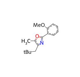 COc1ccccc1-c1nc(CC(C)(C)C)c(C)o1